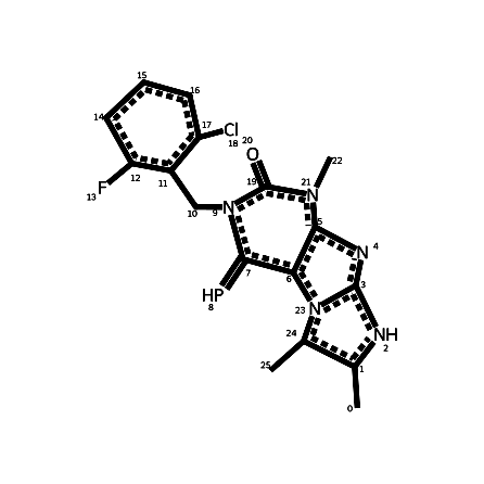 Cc1[nH]c2nc3c(c(=P)n(Cc4c(F)cccc4Cl)c(=O)n3C)n2c1C